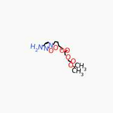 CC(C)OC(=O)COCC(=O)OCC1CCC(n2ccc(N)nc2=O)O1